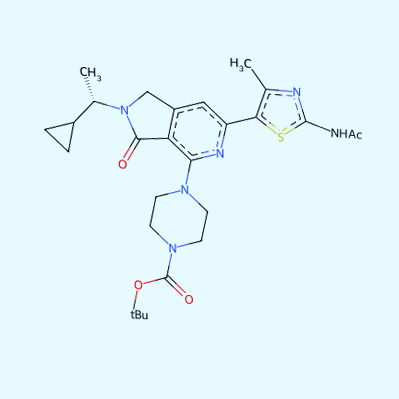 CC(=O)Nc1nc(C)c(-c2cc3c(c(N4CCN(C(=O)OC(C)(C)C)CC4)n2)C(=O)N([C@@H](C)C2CC2)C3)s1